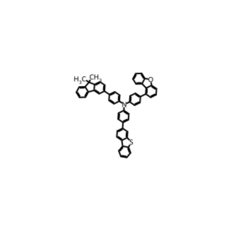 CC1(C)c2ccccc2-c2cc(-c3ccc(N(c4ccc(-c5ccc6c(c5)sc5ccccc56)cc4)c4ccc(-c5cccc6oc7ccccc7c56)cc4)cc3)ccc21